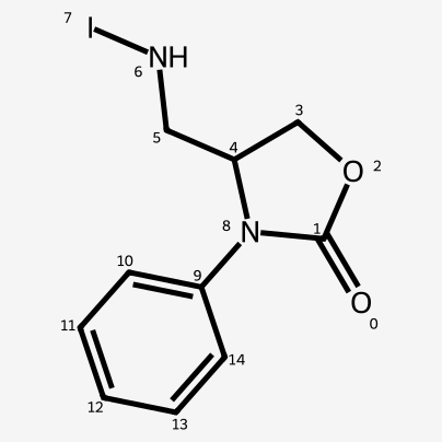 O=C1OCC(CNI)N1c1ccccc1